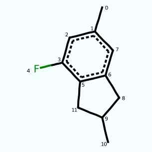 Cc1cc(F)c2c(c1)CC(C)C2